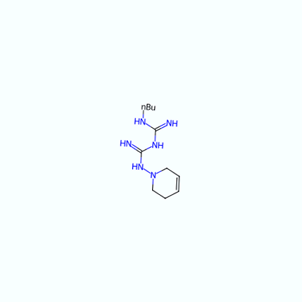 CCCCNC(=N)NC(=N)NN1CC=CCC1